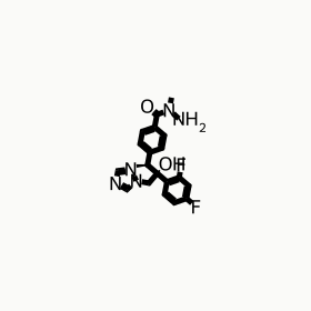 C[C@@H](c1ccc(C(=O)N(C)N)cc1)[C@](O)(Cn1cncn1)c1ccc(F)cc1F